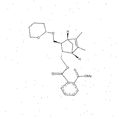 COC(=O)c1ccccc1C(=O)OC[C@@H]1[C@@H](COC2CCCCO2)[C@H]2C[C@@H]1C(C)=C2C